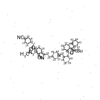 CN(C)Cc1c(OCc2ccc(C#N)cc2)ccc2c(CCC3CCN(CC4CCCCC4CO[Si](c4ccccc4)(c4ccccc4)C(C)(C)C)CC3)noc12